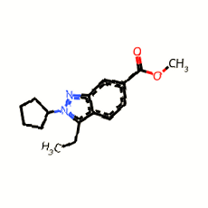 CCc1c2ccc(C(=O)OC)cc2nn1C1CCCC1